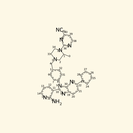 CC1CN(Cc2ccc(-n3c(-c4cccnc4N)nc4ccc(-c5ccccc5)nc43)cc2)CCN1c1nccc(C#N)n1